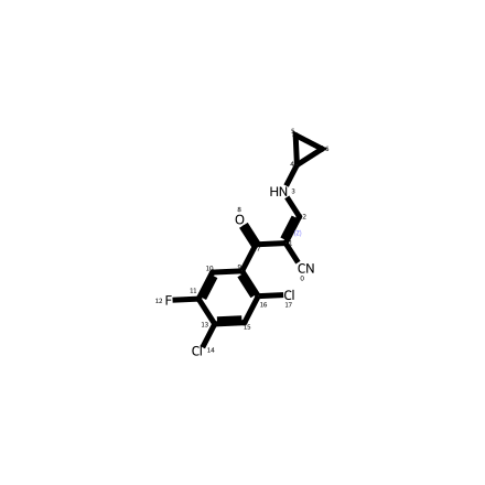 N#C/C(=C/NC1CC1)C(=O)c1cc(F)c(Cl)cc1Cl